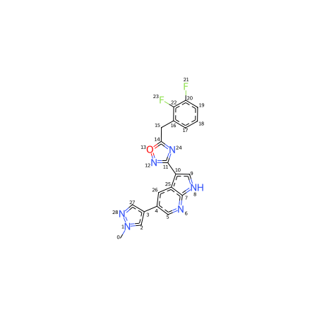 Cn1cc(-c2cnc3[nH]cc(-c4noc(Cc5cccc(F)c5F)n4)c3c2)cn1